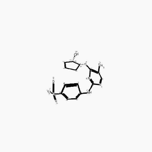 Cc1cnc(Nc2ccc(S(N)(=O)=O)cc2)nc1O[C@@H]1CCC[C@@H]1O